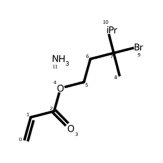 C=CC(=O)OCCC(C)(Br)C(C)C.N